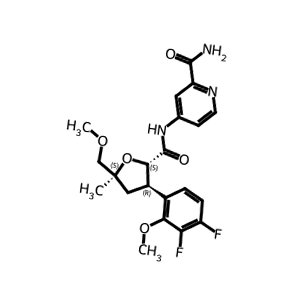 COC[C@]1(C)C[C@H](c2ccc(F)c(F)c2OC)[C@@H](C(=O)Nc2ccnc(C(N)=O)c2)O1